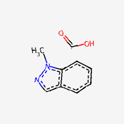 Cn1ncc2ccccc21.O=[C]O